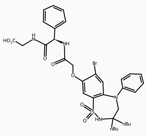 CCCCC1(CCCC)CN(c2ccccc2)c2cc(Br)c(OCC(=O)N[C@@H](C(=O)NCC(=O)O)c3ccccc3)cc2S(=O)(=O)N1